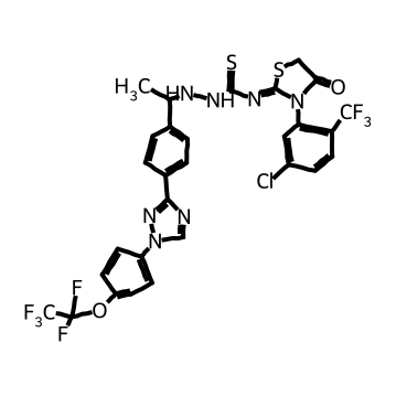 CC(NNC(=S)/N=C1\SCC(=O)N1c1cc(Cl)ccc1C(F)(F)F)c1ccc(-c2ncn(-c3ccc(OC(F)(F)C(F)(F)F)cc3)n2)cc1